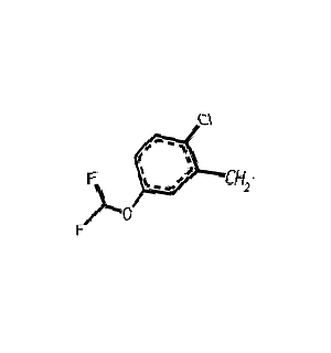 [CH2]c1cc(OC(F)F)ccc1Cl